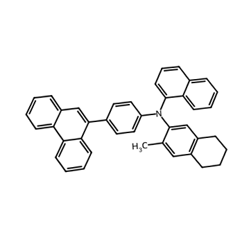 Cc1cc2c(cc1N(c1ccc(-c3cc4ccccc4c4ccccc34)cc1)c1cccc3ccccc13)CCCC2